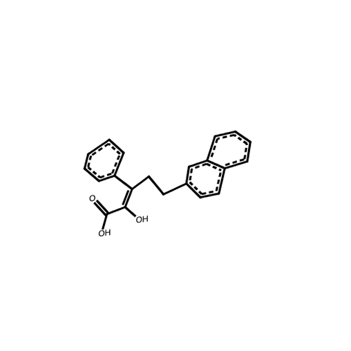 O=C(O)C(O)=C(CCc1ccc2ccccc2c1)c1ccccc1